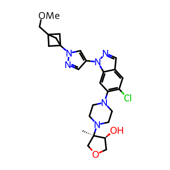 COCC12CC(n3cc(-n4ncc5cc(Cl)c(N6CCN([C@]7(C)COC[C@@H]7O)CC6)cc54)cn3)(C1)C2